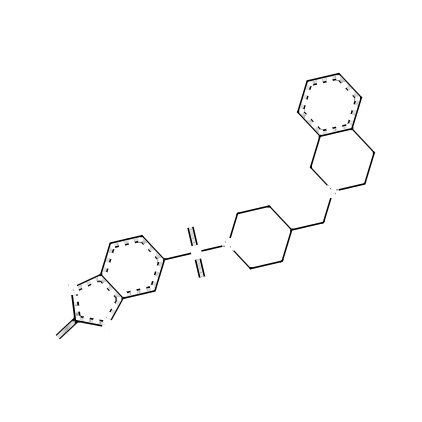 O=c1[nH]c2ccc(S(=O)(=O)N3CCC(CN4CCc5ccccc5C4)CC3)cc2s1